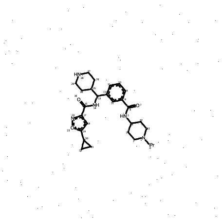 CC(C)N1CCC(NC(=O)c2cccc(C(NC(=O)c3cc(C4CC4)on3)C3CCNCC3)c2)CC1